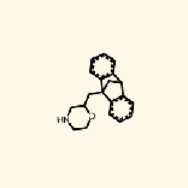 c1ccc2c(c1)C1CC2(CC2CNCCO2)c2ccccc21